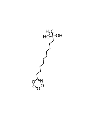 CC(O)(O)CCCCCCCCCCc1noooo1